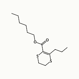 CCCCCCOC(=O)C1=C(CCC)SCCS1